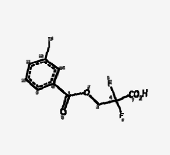 O=C(OCC(F)(F)C(=O)O)c1cccc(I)c1